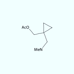 CNCC1(COC(C)=O)CC1